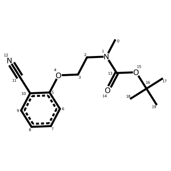 CN(CCOc1ccccc1C#N)C(=O)OC(C)(C)C